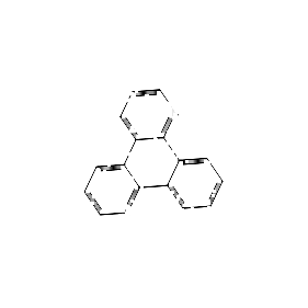 c1ccc2c(c1)c1ncccc1c1cccnc21